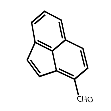 O=Cc1ccc2cccc3c2c1C=C3